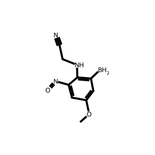 Bc1cc(OC)cc(N=O)c1NCC#N